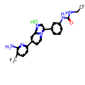 Cl.Nc1nc(-c2ccn3c(-c4cccc(NC(=O)NCC(F)(F)F)c4)cnc3c2)ccc1C(F)(F)F